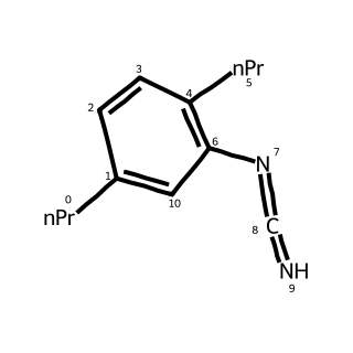 CCCc1ccc(CCC)c(N=C=N)c1